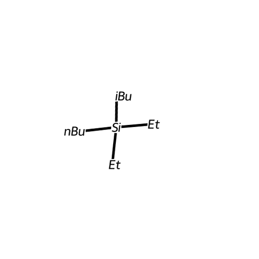 CCCC[Si](CC)(CC)C(C)CC